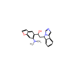 CN(C)c1cc2occc2cc1C(O)CC1c2ccccc2-c2cncn21